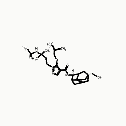 CC(=O)NC(C)(C)CCn1ncc(C(=O)N[C@H]2C3CC4CC2C[C@](CO)(C4)C3)c1OCC(C)C